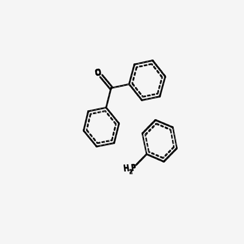 O=C(c1ccccc1)c1ccccc1.Pc1ccccc1